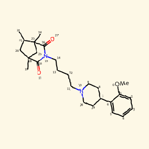 COc1ccccc1C1CCN(CCCCN2C(=O)C3(C)CC(C)C(C)(C3)C2=O)CC1